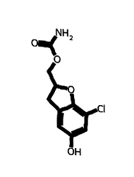 NC(=O)OCC1Cc2cc(O)cc(Cl)c2O1